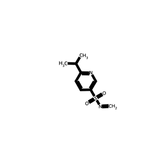 C=NS(=O)(=O)c1ccc(C(C)C)nc1